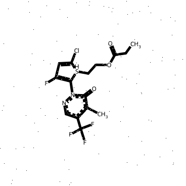 CCC(=O)OCC[SH]1C(Cl)=CC(F)=C1n1ncc(C(F)(F)F)c(C)c1=O